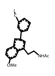 COc1ccc2cc(-c3cccc(CI)c3)cc(CCNC(C)=O)c2c1